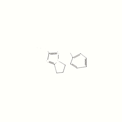 CCOC(=O)c1nc2n(n1)[C@H](c1ccccc1F)CC2